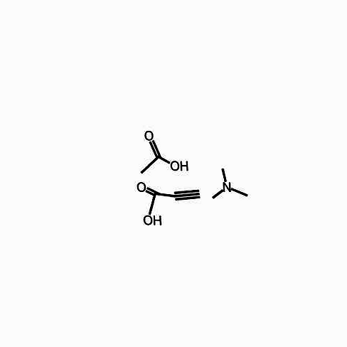 C#CC(=O)O.CC(=O)O.CN(C)C